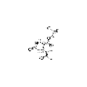 CC(=O)c1cnc(OCC(F)F)c2cnc(Cl)cc12